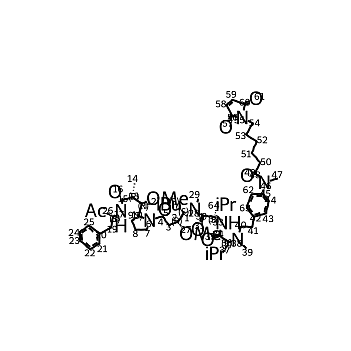 CC[C@H](C)[C@@H]([C@@H](CC(=O)N1CCC[C@H]1[C@H](OC)[C@@H](C)C(=O)N[C@@H](Cc1ccccc1)C(C)=O)OC)N(C)C(=O)[C@@H](NC(=O)[C@H](C(C)C)N(C)CCc1ccc(N(C)C(=O)CCCCCN2C(=O)C=CC2=O)cc1)C(C)C